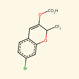 O=C(O)OC1=Cc2ccc(Br)cc2OC1C(F)(F)F